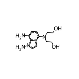 Nc1ccc(N(CCO)CCO)c2ccn(N)c12